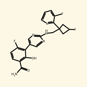 NC(=O)c1ccc(F)c(-c2cnc(NCC3(c4ncccc4F)CC(F)C3)nc2)c1O